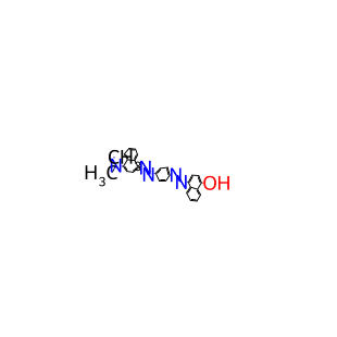 CN(C)c1ccc(N=Nc2ccc(N=Nc3ccc(O)c4ccccc34)cc2)c2ccccc12